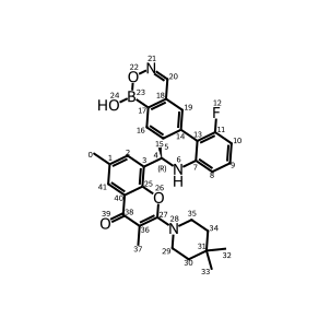 Cc1cc([C@@H](C)Nc2cccc(F)c2-c2ccc3c(c2)C=NOB3O)c2oc(N3CCC(C)(C)CC3)c(C)c(=O)c2c1